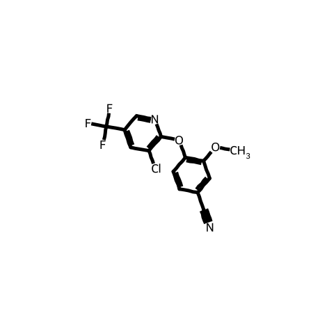 COc1cc(C#N)ccc1Oc1ncc(C(F)(F)F)cc1Cl